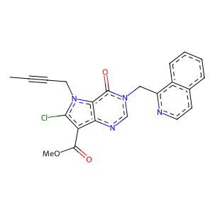 CC#CCn1c(Cl)c(C(=O)OC)c2ncn(Cc3nccc4ccccc34)c(=O)c21